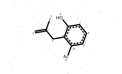 C=C(I)Cc1c(O)cccc1C(C)=O